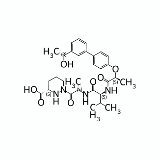 CC(C)[C@H](NC(=O)[C@H](C)Oc1ccc(-c2cccc([C@@H](C)O)c2)cc1)C(=O)N[C@@H](C)C(=O)N1CCC[C@@H](C(=O)O)N1